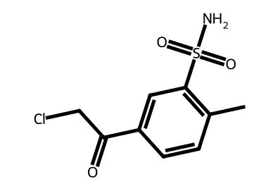 Cc1ccc(C(=O)CCl)cc1S(N)(=O)=O